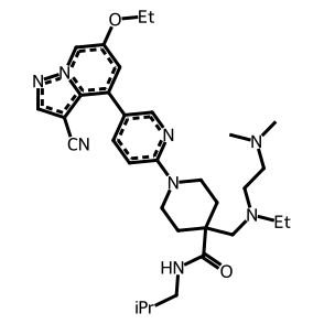 CCOc1cc(-c2ccc(N3CCC(CN(CC)CCN(C)C)(C(=O)NCC(C)C)CC3)nc2)c2c(C#N)cnn2c1